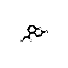 O=C(CBr)c1cccc2oc(=O)ccc12